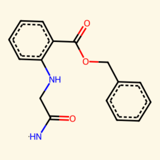 [NH]C(=O)CNc1ccccc1C(=O)OCc1ccccc1